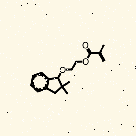 C=C(C)C(=O)OCCOC1c2ccccc2CC1(C)C